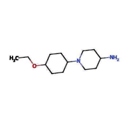 CCOC1CCC(N2CCC(N)CC2)CC1